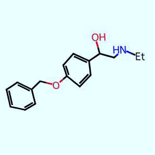 CCNCC(O)c1ccc(OCc2ccccc2)cc1